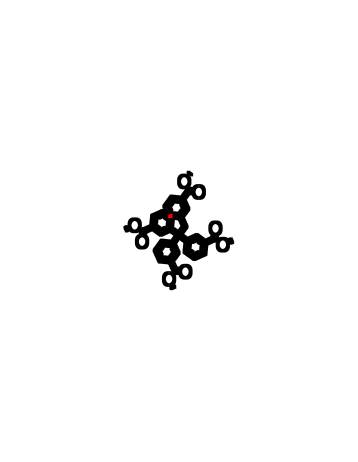 COC(=O)c1cccc(CC(c2cccc(C(=O)OC)c2)(c2cccc(C(=O)OC)c2)c2cccc(C(=O)OC)c2)c1